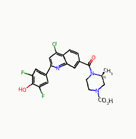 C[C@H]1CN(C(=O)O)CCN1C(=O)c1ccc2c(Cl)cc(-c3cc(F)c(O)c(F)c3)nc2c1